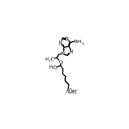 CCCCCCCCCCCCCCCC(O)OC(C)Cn1cnc2c(N)ncnc21